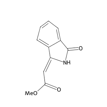 COC(=O)/C=C1\NC(=O)c2ccccc21